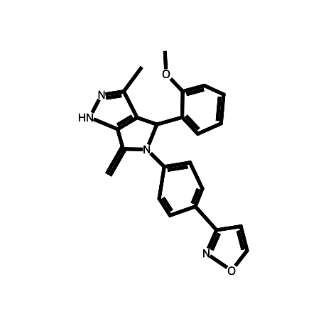 C=C1c2[nH]nc(C)c2C(c2ccccc2OC)N1c1ccc(-c2ccon2)cc1